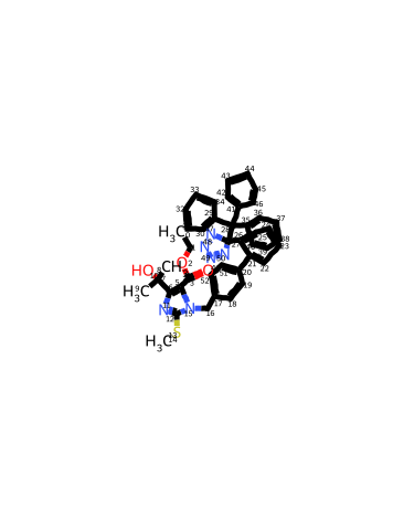 CCOC(=O)c1c(C(C)(C)O)nc(SC)n1Cc1ccc(-c2ccccc2C2(C(c3ccccc3)(c3ccccc3)c3ccccc3)N=NN=N2)cc1